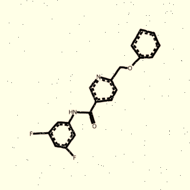 O=C(Nc1cc(F)cc(F)c1)c1ccc(COc2ccccc2)nc1